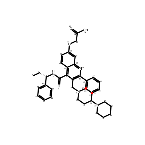 CC[C@H](NC(=O)c1c(CN2CCC(N3CCCCC3)CC2)c(-c2ccccc2)nc2cc(OCC(=O)O)ccc12)c1ccccc1